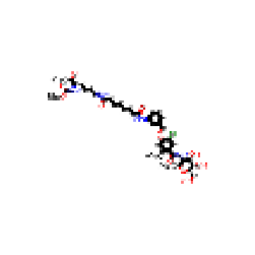 COC(=O)[C@H](CCCCNC(=O)CCCCCCC(=O)Nc1cccc(COc2cc(OC)c(C(=O)N[C@H]3[C@@H](OC)O[C@H](CO)[C@@H](O)[C@@H]3O)cc2Cl)c1)NC(=O)OC(C)(C)C